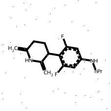 C=C1CCC(c2c(F)cc(NCCC)cc2F)C(=C)N1